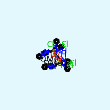 COc1ccccc1N1CCN(CCCSC2(OC(=O)/C=C/C(=O)OC3(SCCCN4CCN(c5ccccc5OC)CC4)CN=C(c4ccccc4Cl)c4cc(Cl)ccc4N3)CN=C(c3ccccc3Cl)c3cc(Cl)ccc3N2)CC1